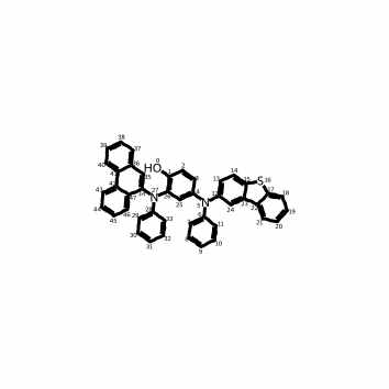 Oc1ccc(N(c2ccccc2)c2ccc3sc4ccccc4c3c2)cc1N(c1ccccc1)c1cc2ccccc2c2ccccc12